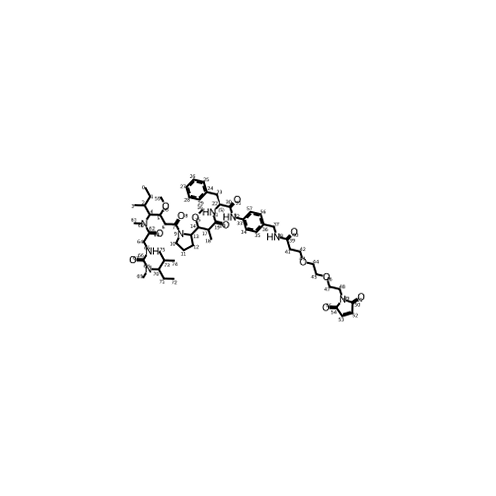 CCC(C)C(C(CC(=O)N1CCCC1C(OC)C(C)C(=O)N[C@@H](Cc1ccccc1)C(=O)Nc1ccc(CNC(=O)CCOCCOCCN2C(=O)C=CC2=O)cc1)OC)N(C)C(=O)CNC(=O)N(C)C(CC)C(C)C